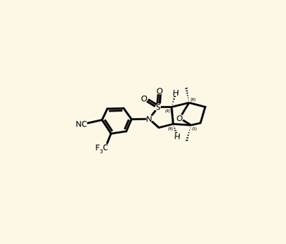 C[C@]12CC[C@](C)(O1)[C@H]1CN(c3ccc(C#N)c(C(F)(F)F)c3)S(=O)(=O)[C@H]12